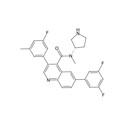 Cc1cc(F)cc(-c2cnc3ccc(-c4cc(F)cc(F)c4)cc3c2C(=O)N(C)[C@H]2CCNC2)c1